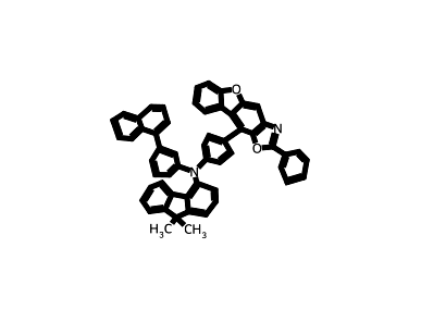 CC1(C)c2ccccc2-c2c(N(c3ccc(-c4c5oc(-c6ccccc6)nc5cc5oc6ccccc6c45)cc3)c3cccc(-c4cccc5ccccc45)c3)cccc21